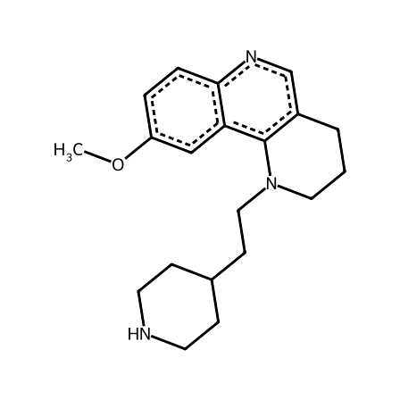 COc1ccc2ncc3c(c2c1)N(CCC1CCNCC1)CCC3